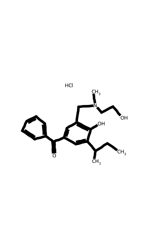 CCC(C)c1cc(C(=O)c2ccccc2)cc(CN(C)CCO)c1O.Cl